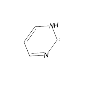 [C]1N=CC=CN1